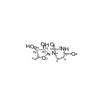 C=C1O[C@@H](n2ccc(=O)[nH]c2=O)[C@H](O)[C@@H]1O